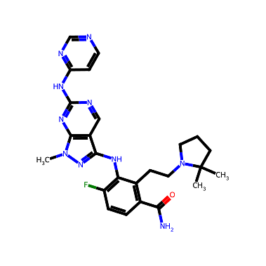 Cn1nc(Nc2c(F)ccc(C(N)=O)c2CCN2CCCC2(C)C)c2cnc(Nc3ccncn3)nc21